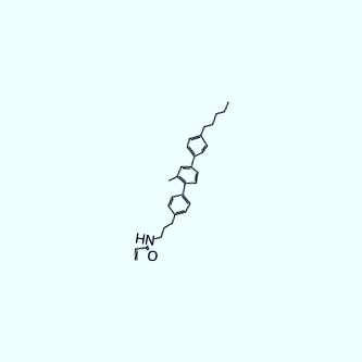 C=CC(=O)NCCCc1ccc(-c2ccc(-c3ccc(CCCCC)cc3)cc2C)cc1